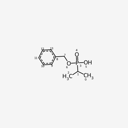 CC(C)P(=O)(O)OCc1ccccc1